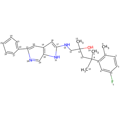 Cc1ccc(F)cc1C(C)(C)CC(C)(O)CNc1cc2cc(-c3ccccc3)ncc2[nH]1